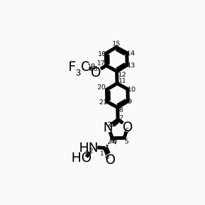 O=C(NO)[C@H]1COC(C2=CCC(c3ccccc3OC(F)(F)F)C=C2)=N1